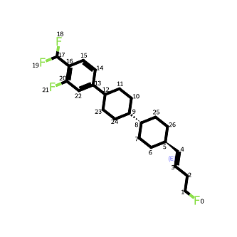 FCC/C=C/[C@H]1CC[C@H](C2CCC(c3ccc(C(F)F)c(F)c3)CC2)CC1